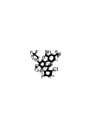 COc1c(NCC(F)(F)F)cc(-c2c(F)cc(C(F)(F)F)cc2C(N)=O)c(C(=O)c2cc(F)ccc2Cl)c1Br